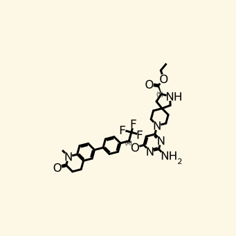 CCOC(=O)[C@@H]1CC2(CCN(c3cc(O[C@H](c4ccc(-c5ccc6c(c5)CCC(=O)N6C)cc4)C(F)(F)F)nc(N)n3)CC2)CN1